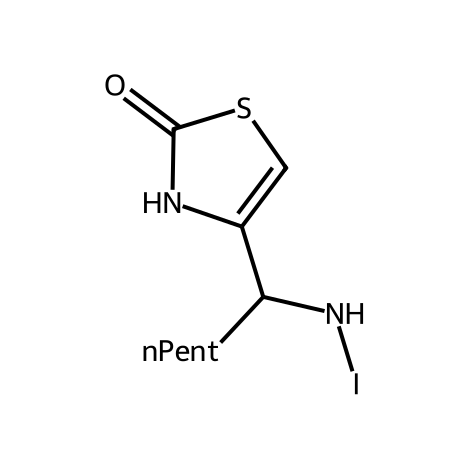 CCCCCC(NI)c1csc(=O)[nH]1